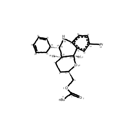 CCCCC(=O)OC[C@H]1CC[C@@H]2[C@H](O1)c1cc(C(C)C)ccc1N[C@H]2C1C=CC=CC1